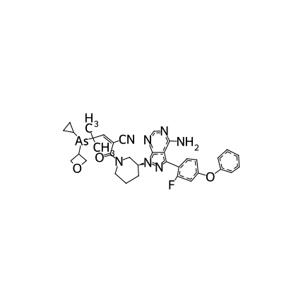 CC(C)(/C=C(/C#N)C(=O)N1CCC[C@H](n2nc(-c3ccc(Oc4ccccc4)cc3F)c3c(N)ncnc32)C1)[As](C1CC1)C1COC1